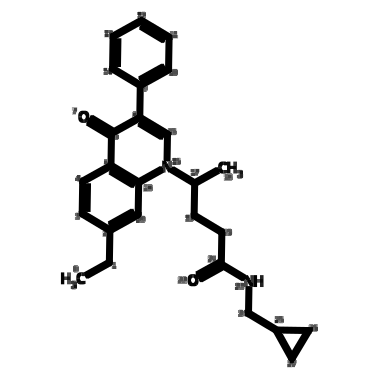 CCc1ccc2c(=O)c(-c3ccccc3)cn(C(C)CCC(=O)NCC3CC3)c2c1